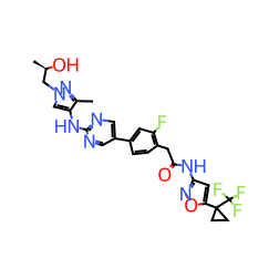 Cc1nn(C[C@@H](C)O)cc1Nc1ncc(-c2ccc(CC(=O)Nc3cc(C4(C(F)(F)F)CC4)on3)c(F)c2)cn1